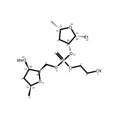 C=P(OCCC#N)(OC[C@H]1O[C@@H](C)C[C@H]1OC)O[C@@H]1C[C@H](C)O[C@@H]1CC